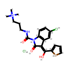 C[N+](C)(C)CCCNC(=O)N1C(=O)/C(=C(\O)c2cccs2)c2cc(Cl)ccc21.[Cl-]